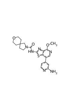 COc1ncc(-c2ccnc(N)c2)c2sc(NC(=O)N3CCC4(CCOCC4)C3)nc12